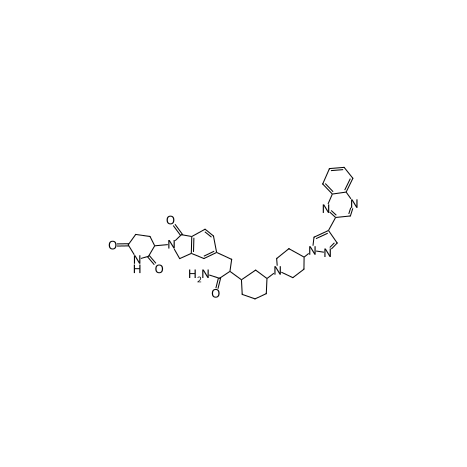 NC(=O)C(Cc1ccc2c(c1)CN(C1CCC(=O)NC1=O)C2=O)C1CCCC(N2CCC(n3cc(-c4cnc5ccccc5n4)cn3)CC2)C1